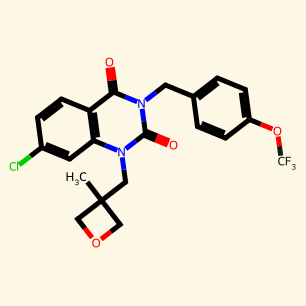 CC1(Cn2c(=O)n(Cc3ccc(OC(F)(F)F)cc3)c(=O)c3ccc(Cl)cc32)COC1